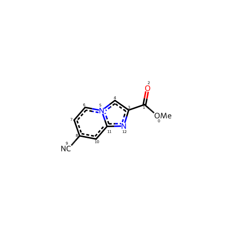 COC(=O)c1cn2ccc(C#N)cc2n1